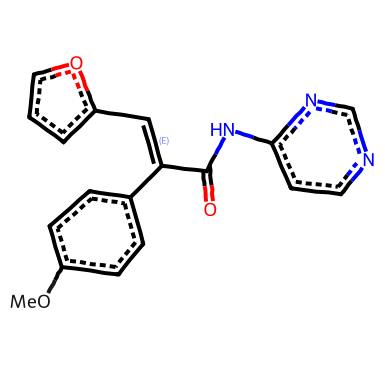 COc1ccc(/C(=C\c2ccco2)C(=O)Nc2ccncn2)cc1